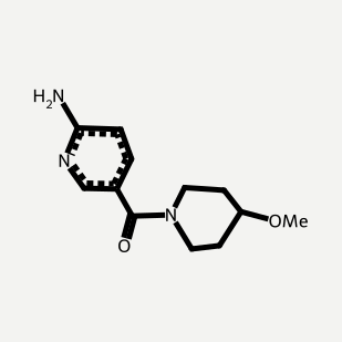 COC1CCN(C(=O)c2ccc(N)nc2)CC1